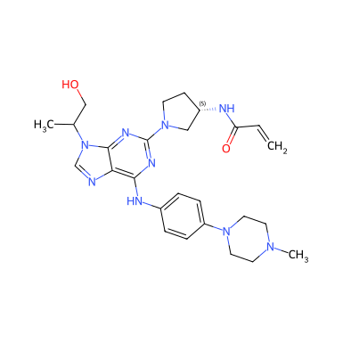 C=CC(=O)N[C@H]1CCN(c2nc(Nc3ccc(N4CCN(C)CC4)cc3)c3ncn(C(C)CO)c3n2)C1